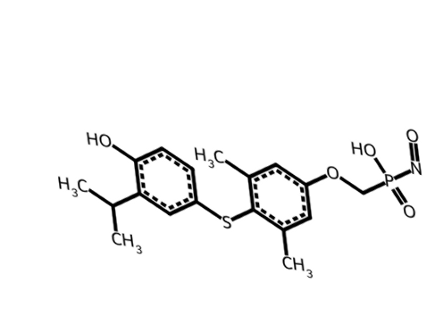 Cc1cc(OCP(=O)(O)N=O)cc(C)c1Sc1ccc(O)c(C(C)C)c1